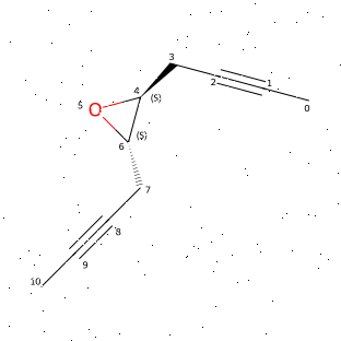 CC#CC[C@@H]1O[C@H]1CC#CC